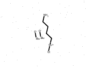 CCC(C)[O-].CCC(C)[O-].C[CH2][Sn+2][CH2]CCCN